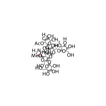 CO[C@@H]1OC(CO)[C@H](O[C@H]2OC(CO)[C@@H](O)[C@H](O)C2O)[C@H](O[C@@H]2OC(CO[C@H]3OC(CO)[C@@H](O)[C@H](O)C3O)[C@@H](O)[C@H](O[C@@H]3OC(C)[C@H](C)[C@H](C)C3OC(C)=O)C2O)C1NC(C)C(N)=O